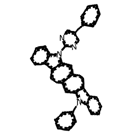 c1ccc(-c2cnc(-n3c4ccccc4c4cc5cc6c(cc5cc43)c3ccccc3n6-c3ccccc3)nc2)cc1